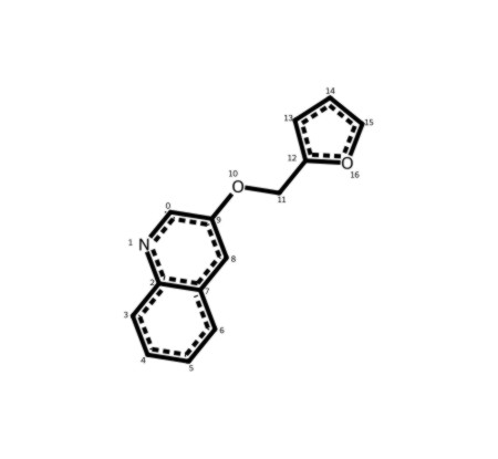 [c]1nc2ccccc2cc1OCc1ccco1